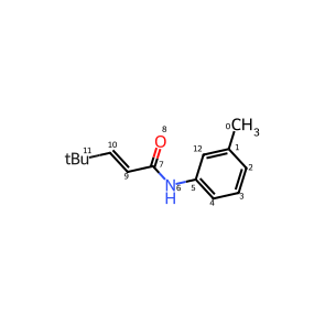 Cc1cccc(NC(=O)/C=C/C(C)(C)C)c1